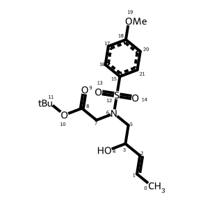 C/C=C/C(O)CN(CC(=O)OC(C)(C)C)S(=O)(=O)c1ccc(OC)cc1